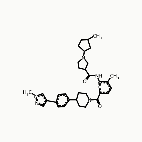 Cc1ccc(C(=O)N2CCC(c3ccc(-c4cnn(C)c4)cc3)CC2)cc1NC(=O)C1CCN(C2CCC(C)C2)C1